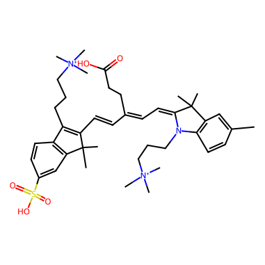 Cc1ccc2c(c1)C(C)(C)/C(=C/C=C(/C=C/C1=C(CCC[N+](C)(C)C)c3ccc(S(=O)(=O)O)cc3C1(C)C)CCC(=O)O)N2CCC[N+](C)(C)C